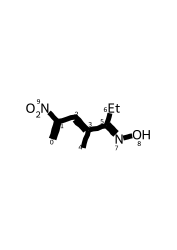 C=C(/C=C(C)/C(CC)=N/O)[N+](=O)[O-]